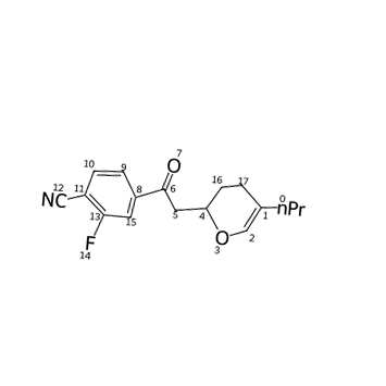 CCCC1=COC(CC(=O)c2ccc(C#N)c(F)c2)CC1